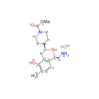 COC(=O)N1CCC([C@@H]2Cc3c(ccc(C)c3O)[C@H](CN)O2)CC1.Cl